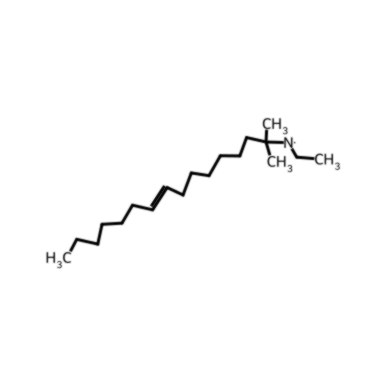 CCCCCCC=CCCCCCCC(C)(C)[N]CC